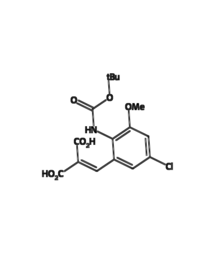 COc1cc(Cl)cc(C=C(C(=O)O)C(=O)O)c1NC(=O)OC(C)(C)C